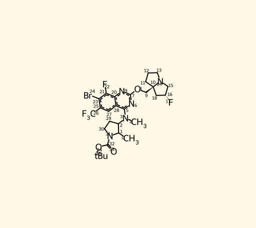 CC1C(N(C)c2nc(OC[C@@]34CCCN3C[C@H](F)C4)nc3c(F)c(Br)c(C(F)(F)F)cc23)CCN1C(=O)OC(C)(C)C